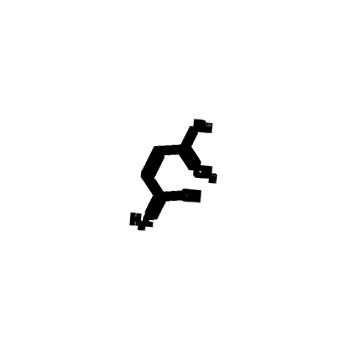 C=C(O)/C=C\C(=C)C(C)CC